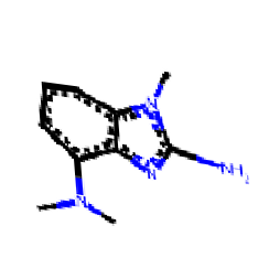 CN(C)c1cccc2c1nc(N)n2C